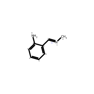 C/N=C/c1ccccc1N